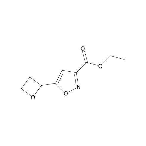 CCOC(=O)c1cc(C2CCO2)on1